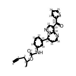 C#CCC(C)OC(=O)Nc1cccc(-c2ccnc3c(C(=O)c4cccs4)cnn23)c1